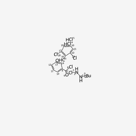 CC(C)(C)NNCl.Cl.Cl.O=C(Cl)c1ccccc1.O=Cc1c(Cl)cccc1Cl